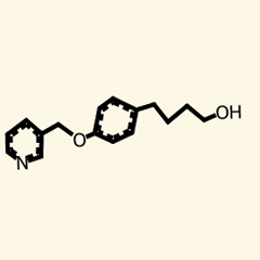 OCCCCc1ccc(OCc2cccnc2)cc1